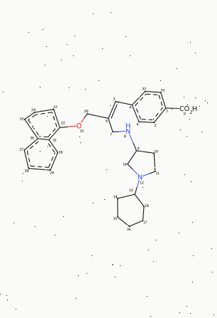 O=C(O)c1ccc(C=C(CNC2CCN(C3CCCCC3)C2)COc2cccc3ccccc23)cc1